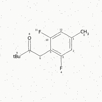 Cc1cc(F)c(CC(=O)C(C)(C)C)c(F)c1